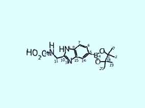 CC1(C)OB(c2ccc3[nH]c(CNC(=O)O)nc3c2)OC1(C)C